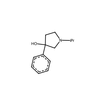 CC(C)N1CCC(O)(c2ccccc2)C1